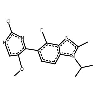 COc1cnc(Cl)nc1-c1ccc2c(nc(C)n2C(C)C)c1F